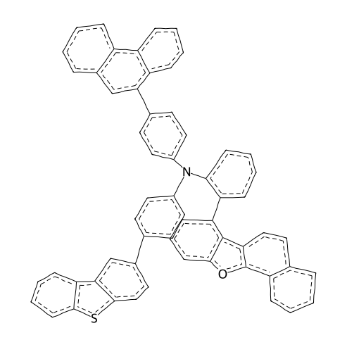 c1ccc(N(c2ccc(-c3ccc4sc5ccccc5c4c3)cc2)c2ccc(-c3cc4ccccc4c4ccccc34)cc2)c(-c2cccc3oc4c5ccccc5ccc4c23)c1